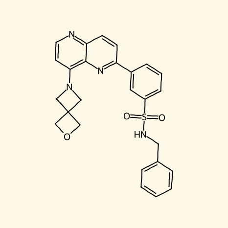 O=S(=O)(NCc1ccccc1)c1cccc(-c2ccc3nccc(N4CC5(COC5)C4)c3n2)c1